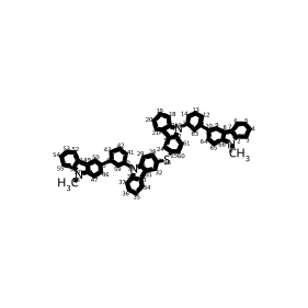 Cn1c2ccccc2c2cc(-c3cccc(-n4c5ccccc5c5cc(Sc6ccc7c(c6)c6ccccc6n7-c6cccc(-c7ccc8c(c7)c7ccccc7n8C)c6)ccc54)c3)ccc21